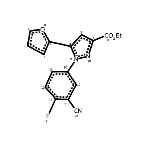 CCOC(=O)c1cc(-c2ccco2)n(-c2ccc(F)c(C#N)c2)n1